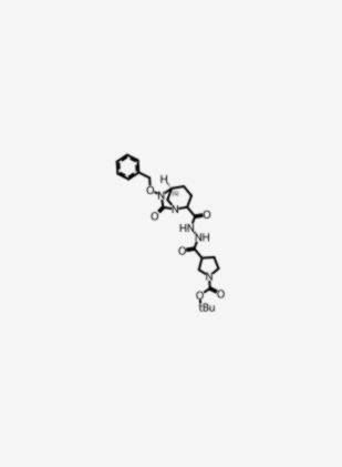 CC(C)(C)OC(=O)N1CCC(C(=O)NNC(=O)C2CC[C@H]3CN2C(=O)N3OCc2ccccc2)C1